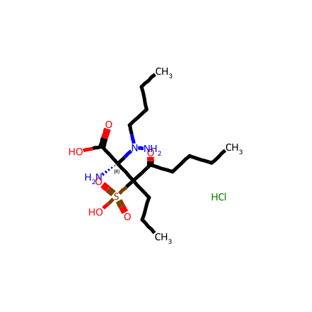 CCCCC(=O)C(CCC)([C@@](N)(C(=O)O)N(N)CCCC)S(=O)(=O)O.Cl